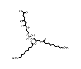 CCCCCCCCCCCCCCCCCC(=O)OC[C@H](COP(=O)(O)OCCNC(=O)CC(=O)CCC(=O)C(C)C)OC(=O)CCCCCCCCCCCCCCCCC